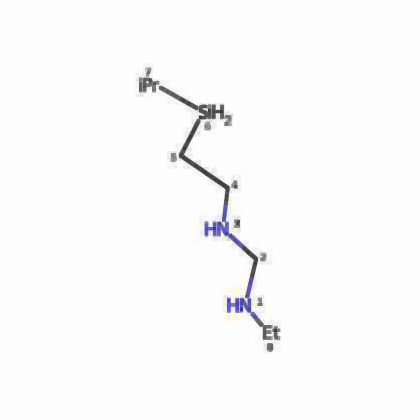 CCNCNCC[SiH2]C(C)C